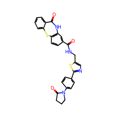 O=C(NCc1cnc(-c2ccc(N3CCCC3=O)cc2)s1)c1ccc2c(c1)NC(=O)c1ccccc1S2